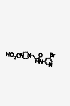 O=C(CCN1CCN(C(=O)O)CC1)Nc1cncc(Br)c1